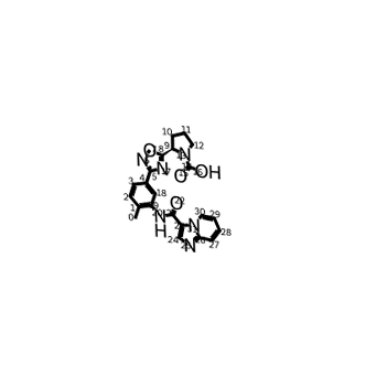 Cc1ccc(-c2noc([C@H]3CCCN3C(=O)O)n2)cc1NC(=O)c1cnc2ccccn12